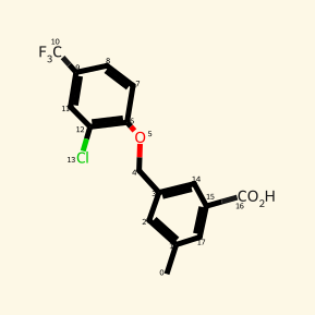 Cc1cc(COc2ccc(C(F)(F)F)cc2Cl)cc(C(=O)O)c1